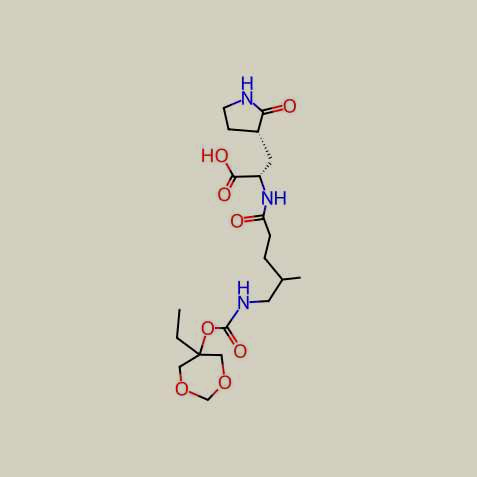 CCC1(OC(=O)NCC(C)CCC(=O)N[C@@H](C[C@@H]2CCNC2=O)C(=O)O)COCOC1